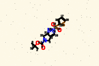 CC(C)(C)OC(=O)N1Cc2cn(S(=O)(=O)c3cccs3)nc2C1